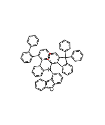 c1ccc(-c2ccccc2-c2ccccc2-c2ccccc2N(c2cccc3c2-c2ccccc2C3(c2ccccc2)c2ccccc2)c2cccc3oc4ccccc4c23)cc1